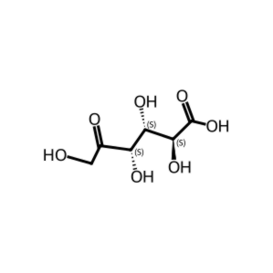 O=C(O)[C@@H](O)[C@@H](O)[C@H](O)C(=O)CO